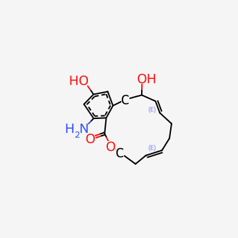 Nc1cc(O)cc2c1C(=O)OCC/C=C/CC/C=C/C(O)C2